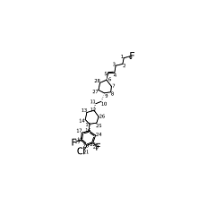 FCCCC=C[C@H]1CC[C@H](CC[C@H]2CC[C@H](c3cc(F)c(Cl)c(F)c3)CC2)CC1